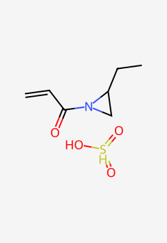 C=CC(=O)N1CC1CC.O=[SH](=O)O